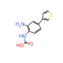 Nc1cc(-c2ccsc2)ccc1NC(=O)O